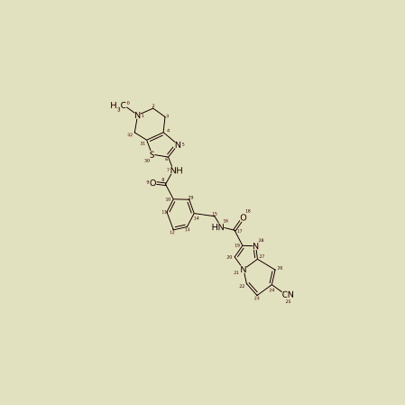 CN1CCc2nc(NC(=O)c3cccc(CNC(=O)c4cn5ccc(C#N)cc5n4)c3)sc2C1